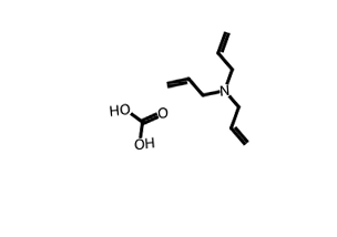 C=CCN(CC=C)CC=C.O=C(O)O